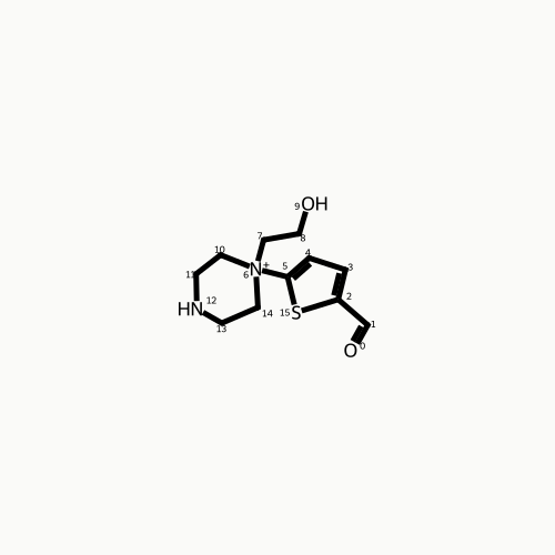 O=Cc1ccc([N+]2(CCO)CCNCC2)s1